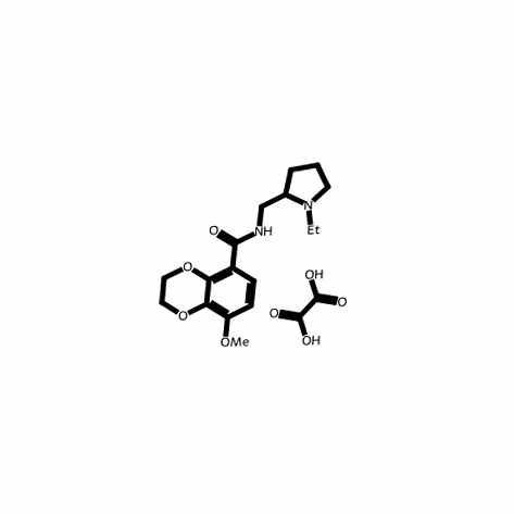 CCN1CCCC1CNC(=O)c1ccc(OC)c2c1OCCO2.O=C(O)C(=O)O